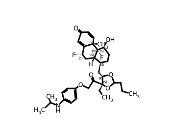 CCCC1O[C@H](C[C@@H]2CC[C@H](O)[C@@]3(F)[C@H]2C[C@H](F)C2=CC(=O)C=C[C@@]23C)[C@@](CC)(C(=O)COc2ccc(NC(C)C)cc2)O1